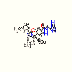 CCC(C)(C)C1CCC2(CC1)N=C(c1cccc(C(F)(F)F)c1)C(=O)N2[C@H](CCC(C)(C)C)c1ccc(C(=O)NCc2nnn[nH]2)cc1